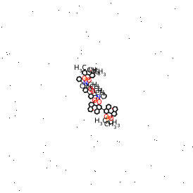 COc1c(-c2cccc([C@H](C)N(C3CCCCC3)p3oc4ccc5ccccc5c4c4c(cc(-c5cc6op(C(C)(C)C)oc7ccc8ccccc8c7c6c6ccccc56)c5ccccc54)o3)c2OC)cccc1[C@@H](C)N([C@H](C)c1ccccc1)p1oc2ccc(C)c(C)c2c2c(C)c(C)ccc2o1